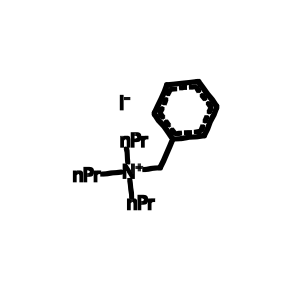 CCC[N+](CCC)(CCC)Cc1ccccc1.[I-]